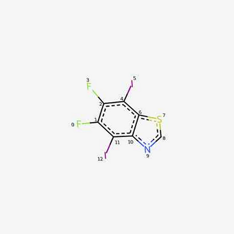 Fc1c(F)c(I)c2scnc2c1I